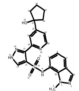 Cn1ncc2cccc(NS(=O)(=O)c3c[nH]nc3-c3cc(C4(O)CCCC4)ccn3)c21